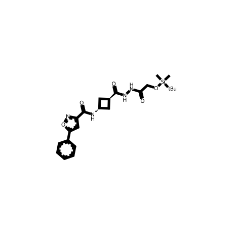 CC(C)(C)[Si](C)(C)OCC(=O)NNC(=O)[C@H]1C[C@H](NC(=O)c2cc(-c3ccccc3)on2)C1